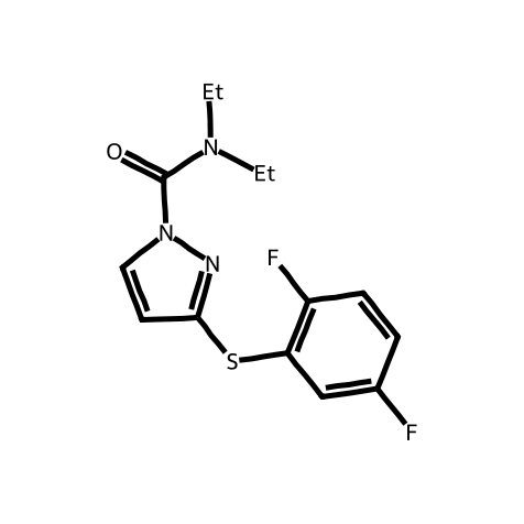 CCN(CC)C(=O)n1ccc(Sc2cc(F)ccc2F)n1